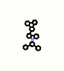 C1=CC(C2=CC(C3=CCCCC3)CC(N3C4=C(C(C5=CCC6c7ccccc7C7C=CCCC7C6C5)=CCC4)C4C=CCCC43)=C2)=CCC1